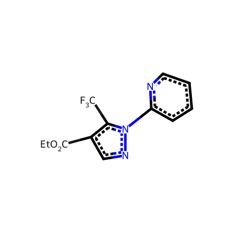 CCOC(=O)c1cnn(-c2ccccn2)c1C(F)(F)F